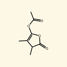 CC(=O)OC1=C(C)C(C)C(=O)O1